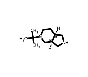 CC(C)(C)N1CC[C@H]2CNC[C@H]2C1